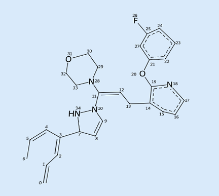 C=C/C=C(\C=C/C)C1C=CN(/C(=C\Cc2cccnc2Oc2cccc(F)c2)N2CCOCC2)N1